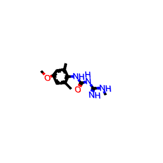 CNC(=N)NC(=O)Nc1c(C)cc(OC)cc1C